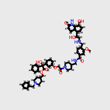 COc1cc(C(=O)NCC2CCN(C(=O)COc3cccc(C(O)(C(=O)OCC4CCN(Cc5ccccc5)CC4)c4ccccc4)c3)CC2)ccc1CNC[C@H](O)c1ccc(O)c2[nH]c(=O)ccc12